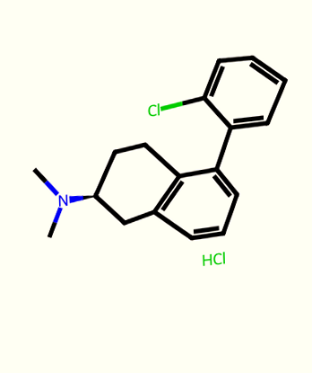 CN(C)[C@H]1CCc2c(cccc2-c2ccccc2Cl)C1.Cl